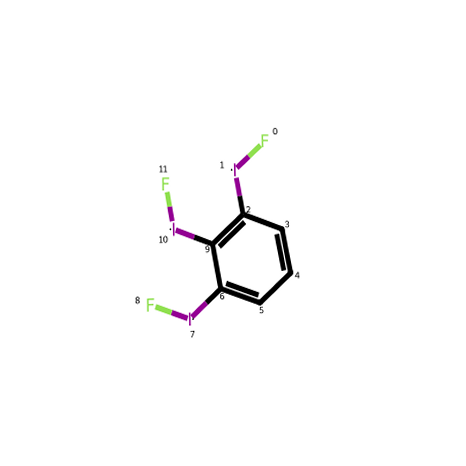 F[I]c1cccc([I]F)c1[I]F